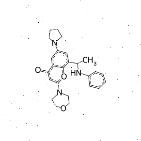 CC(Nc1ccccc1)c1cc(N2CCCC2)cc2c(=O)cc(N3CCOCC3)oc12